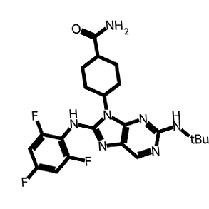 CC(C)(C)Nc1ncc2nc(Nc3c(F)cc(F)cc3F)n(C3CCC(C(N)=O)CC3)c2n1